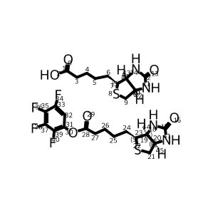 O=C(O)CCCC[C@@H]1SC[C@@H]2NC(=O)N[C@@H]21.O=C1N[C@H]2[C@H](CS[C@H]2CCCCC(=O)Oc2cc(F)c(F)c(F)c2F)N1